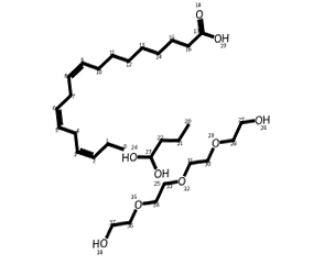 CC/C=C\C/C=C\C/C=C\CCCCCCCC(=O)O.CCCC(O)O.OCCOCCOCCOCCO